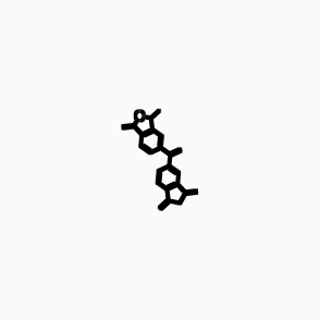 C=C(c1ccc2c(c1)C(=C)CC2=C)c1ccc2c(c1)C(C)OC2=C